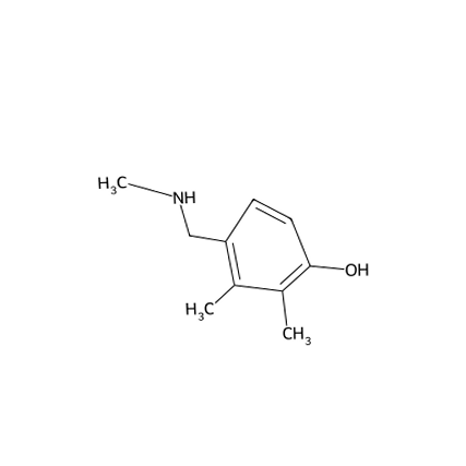 CNCc1ccc(O)c(C)c1C